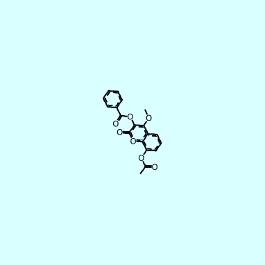 COc1c(OC(=O)c2ccccc2)c(=O)oc2c(OC(C)=O)cccc12